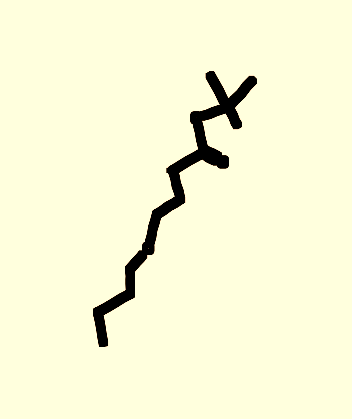 CCCCOCC[CH]C(=O)OC(C)(C)C